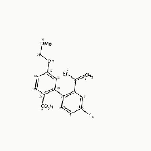 C=C(Br)c1cc(I)ccc1-c1cc(OCOC)ccc1C(=O)O